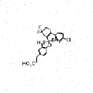 BC(B)(Oc1ccc(CCC(=O)O)cc1C)C1=C(c2ccc(Cl)cc2)CCC(F)(F)C1